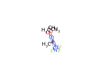 C[C@@H]1[C@H](N2CCN(C(=O)OC(C)(C)C)CC2)CN1c1cc(F)nc(C(F)F)n1